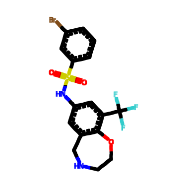 O=S(=O)(Nc1cc2c(c(C(F)(F)F)c1)OCCNC2)c1cccc(Br)c1